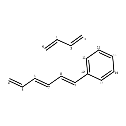 C=CC=C.C=CC=CC=Cc1ccccc1